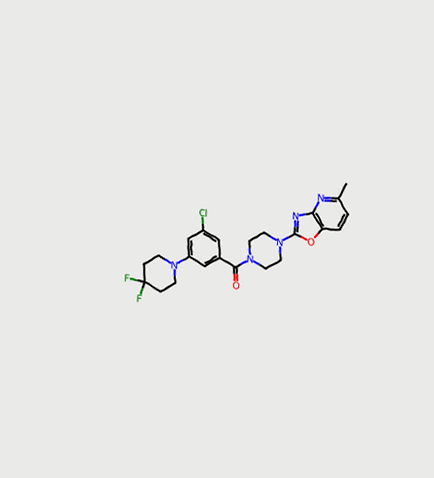 Cc1ccc2oc(N3CCN(C(=O)c4cc(Cl)cc(N5CCC(F)(F)CC5)c4)CC3)nc2n1